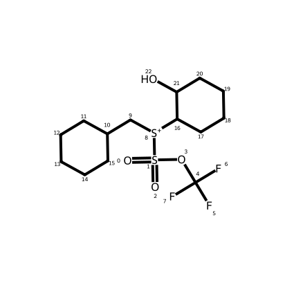 O=S(=O)(OC(F)(F)F)[S+](CC1CCCCC1)C1CCCCC1O